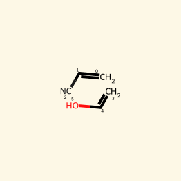 C=CC#N.C=CO